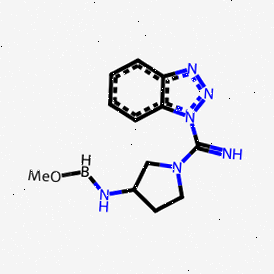 COBNC1CCN(C(=N)n2nnc3ccccc32)C1